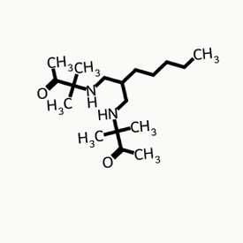 CCCCCC(CNC(C)(C)C(C)=O)CNC(C)(C)C(C)=O